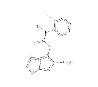 CCN(C(=O)Cn1c(C(=O)O)cc2ccsc21)c1ccccc1C